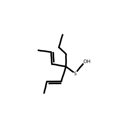 CC=CC(C=CC)(CCC)SO